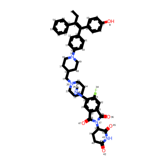 CCC(=C(c1ccc(O)cc1)c1ccc(N2CCC(CN3CC4CCC3CN4c3cc4c(cc3F)C(=O)N(C3CCC(=O)NC3=O)C4=O)CC2)cc1)c1ccccc1